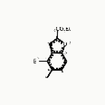 CCOC(=O)c1cc2c(Br)c(C)ccc2o1